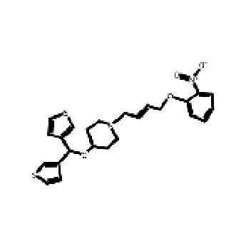 O=[N+]([O-])c1ccccc1OCC=CCN1CCC(OC(c2ccsc2)c2ccsc2)CC1